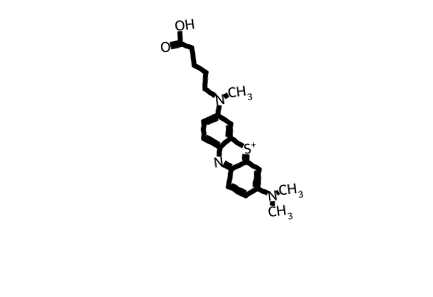 CN(C)c1ccc2nc3ccc(N(C)CCCCC(=O)O)cc3[s+]c2c1